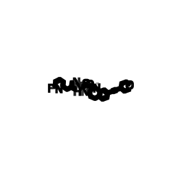 CN1C(=O)C(NC(=O)n2cc(Cc3cccc(F)n3)cn2)CCc2ccc(C#CC3CCOCC3)cc21